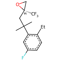 CCc1ccc(F)cc1C(C)(C)C[C@]1(C(F)(F)F)CO1